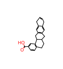 O=C(O)c1ccc2c(c1)C1Cc3cc4c(cc3CC1CC2)CC=CC4